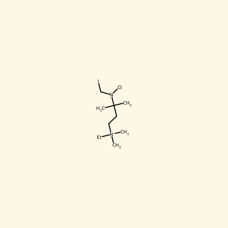 CC[N+](C)(C)CCC(C)(C)N(Cl)CI